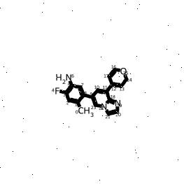 Cc1cc(F)c(N)cc1-c1cc(C2=CCOC=C2)c2nccn2c1